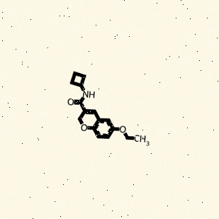 CCOc1ccc2c(c1)C=C(C(=O)NC1CCC1)CO2